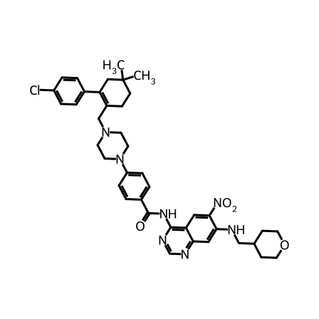 CC1(C)CCC(CN2CCN(c3ccc(C(=O)Nc4ncnc5cc(NCC6CCOCC6)c([N+](=O)[O-])cc45)cc3)CC2)=C(c2ccc(Cl)cc2)C1